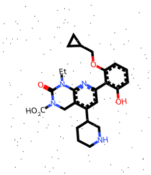 CCN1C(=O)N(C(=O)O)Cc2c(C3CCCNC3)cc(-c3c(O)cccc3OCC3CC3)nc21